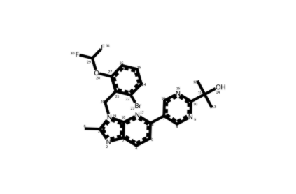 Cc1nc2ccc(-c3cnc(C(C)(C)O)nc3)nc2n1Cc1c(Br)cccc1OC(F)F